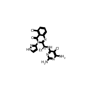 CC[C@H](Nc1nc(N)nc(N)c1Cl)c1nc2cccc(Cl)c2c(=O)n1-c1cc[nH]n1